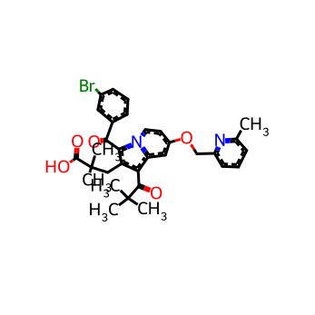 Cc1cccc(COc2ccn3c(C(=O)c4cccc(Br)c4)c(CC(C)(C)C(=O)O)c(C(=O)C(C)(C)C)c3c2)n1